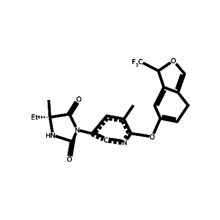 CC[C@@]1(C)NC(=O)N(c2cnc(OC3=CCC4=COC(C(F)(F)F)C4=C3)c(C)c2)C1=O